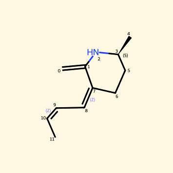 C=C1N[C@@H](C)CC/C1=C/C=C\C